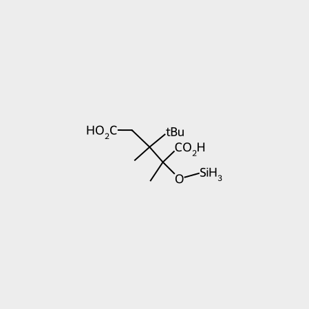 CC(C)(C)C(C)(CC(=O)O)C(C)(O[SiH3])C(=O)O